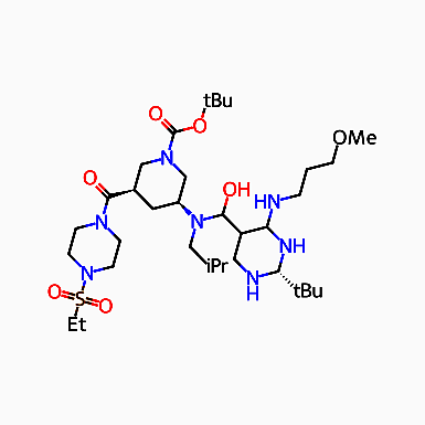 CCS(=O)(=O)N1CCN(C(=O)[C@@H]2C[C@H](N(CC(C)C)C(O)C3CN[C@@H](C(C)(C)C)NC3NCCCOC)CN(C(=O)OC(C)(C)C)C2)CC1